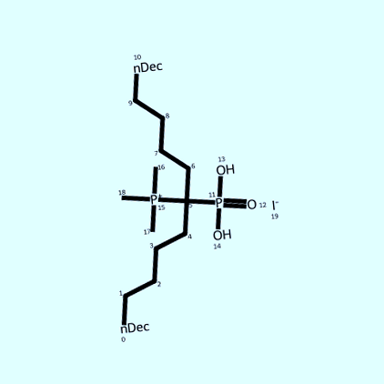 CCCCCCCCCCCCCCC(CCCCCCCCCCCCCC)(P(=O)(O)O)[P+](C)(C)C.[I-]